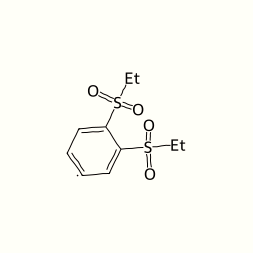 CCS(=O)(=O)c1c[c]ccc1S(=O)(=O)CC